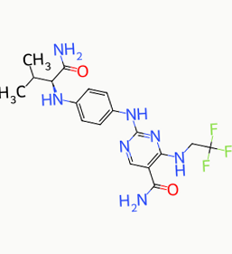 CC(C)[C@H](Nc1ccc(Nc2ncc(C(N)=O)c(NCC(F)(F)F)n2)cc1)C(N)=O